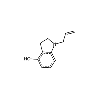 C=CCN1CCc2c(O)cccc21